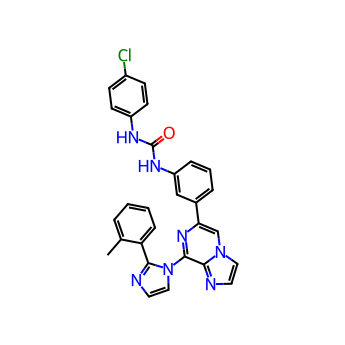 Cc1ccccc1-c1nccn1-c1nc(-c2cccc(NC(=O)Nc3ccc(Cl)cc3)c2)cn2ccnc12